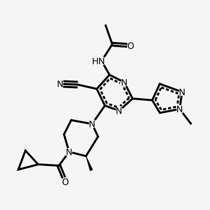 CC(=O)Nc1nc(-c2cnn(C)c2)nc(N2CCN(C(=O)C3CC3)[C@H](C)C2)c1C#N